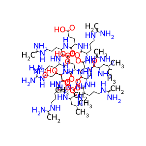 C=C(N)NCCCC(NC(=O)C(N)CC(C)C)C(=O)NC(CCCNC(=C)N)C(=O)NC(CCC(=O)O)C(=O)NC(CCCNC(=C)N)C(=O)NC(CCC(N)=O)C(=O)NC(CO)C(=O)NC(CCCNC(=C)N)C(=O)NC(CC(C)C)C(=O)NC(CCCNC(=C)N)C(=O)NC(CCCNC(=C)N)C(=O)NC(CCC(=O)O)C(=O)NC(CCCNC(=N)N)C(=O)NC